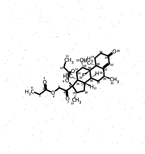 CCC(=O)OCC(=O)[C@@]1(OC(=O)CC)[C@@H](C)C[C@H]2[C@@H]3C[C@H](C)C4=CC(=O)CC[C@]4(C)[C@@]3(F)[C@@H](O)C[C@@]21C